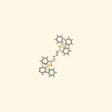 c1ccc([PH](CCOCCOCC[PH](c2ccccc2)(c2ccccc2)c2ccccc2)(c2ccccc2)c2ccccc2)cc1